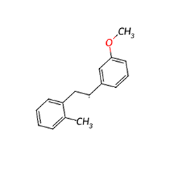 COc1cccc([CH]Cc2ccccc2C)c1